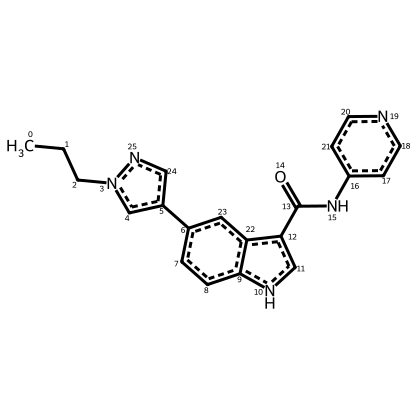 CCCn1cc(-c2ccc3[nH]cc(C(=O)Nc4ccncc4)c3c2)cn1